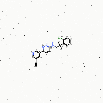 C#Cc1cncc(-c2ccc(NCC(C)(C)c3ccccc3Cl)nn2)c1